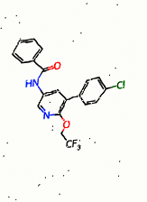 O=C(Nc1cnc(OCC(F)(F)F)c(-c2ccc(Cl)cc2)c1)c1ccccc1